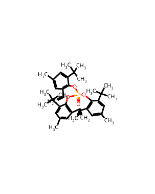 C=Cc1cc(C)cc(C(C)(C)C)c1OP(=O)(Oc1c(C=C)cc(C)cc1C(C)(C)C)Oc1c(C=C)cc(C)cc1C(C)(C)C